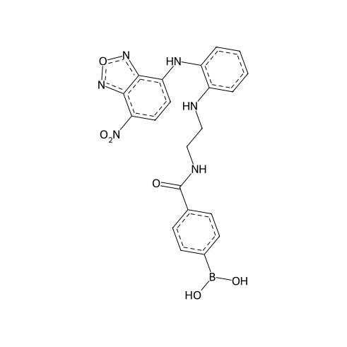 O=C(NCCNc1ccccc1Nc1ccc([N+](=O)[O-])c2nonc12)c1ccc(B(O)O)cc1